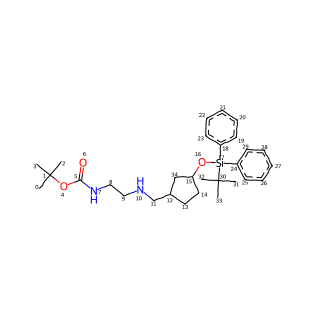 CC(C)(C)OC(=O)NCCNCC1CCC(O[Si](c2ccccc2)(c2ccccc2)C(C)(C)C)C1